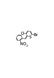 O=[N+]([O-])c1cccc2c1C=C1SC(Br)=CC=C1O2